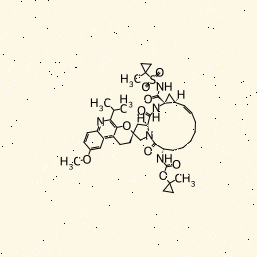 COc1ccc2nc(C(C)C)c3c(c2c1)CC[C@]1(C[C@H]2C(=O)N[C@]4(C(=O)NS(=O)(=O)C5(C)CC5)C[C@H]4/C=C\CCCCC[C@H](NC(=O)OC4(C)CC4)C(=O)N2C1)O3